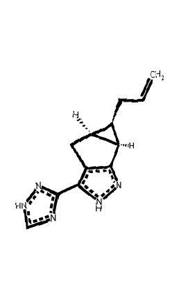 C=CC[C@@H]1[C@@H]2Cc3c(n[nH]c3-c3nc[nH]n3)[C@H]12